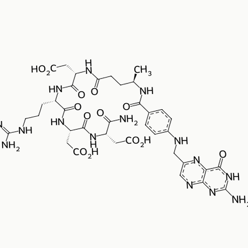 C[C@H](CCC(=O)N[C@@H](CC(=O)O)C(=O)N[C@@H](CCCNC(=N)N)C(=O)N[C@@H](CC(=O)O)C(=O)N[C@@H](CC(=O)O)C(N)=O)NC(=O)c1ccc(NCc2cnc3nc(N)[nH]c(=O)c3n2)cc1